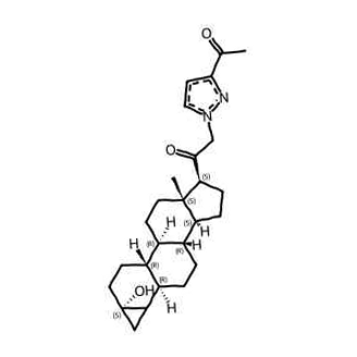 CC(=O)c1ccn(CC(=O)[C@H]2CC[C@H]3[C@@H]4CC[C@H]5C6C[C@@]6(O)CC[C@@H]5[C@H]4CC[C@]23C)n1